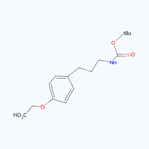 CC(C)(C)OC(=O)NCCCc1ccc(OCC(=O)O)cc1